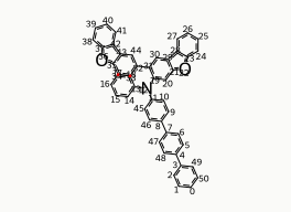 c1ccc(-c2ccc(-c3ccc(N(c4ccccc4)c4cc5oc6ccccc6c5cc4-c4ccc5oc6ccccc6c5c4)cc3)cc2)cc1